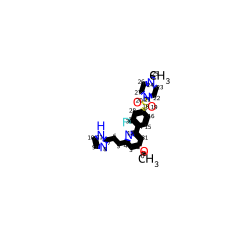 COc1cc(CCc2ncc[nH]2)nc(-c2ccc(S(=O)(=O)N3CCN(C)CC3)cc2F)c1